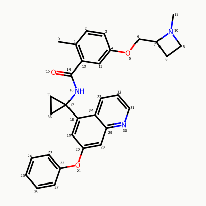 Cc1ccc(OCC2CCN2C)cc1C(=O)NC1(c2cc(Oc3ccccc3)cc3ncccc23)CC1